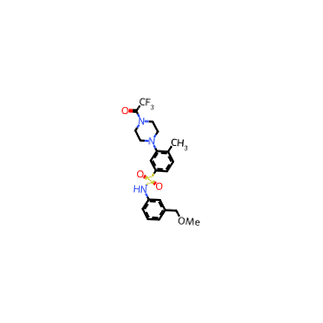 COCc1cccc(NS(=O)(=O)c2ccc(C)c(N3CCN(C(=O)C(F)(F)F)CC3)c2)c1